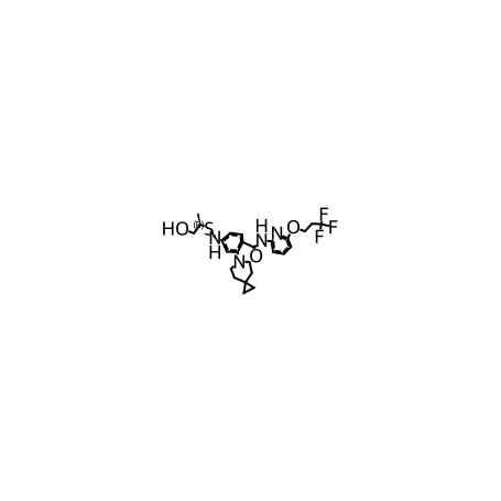 C[C@H](CO)SNc1ccc(C(=O)Nc2cccc(OCCC(F)(F)F)n2)c(N2CCC3(CC2)CC3)c1